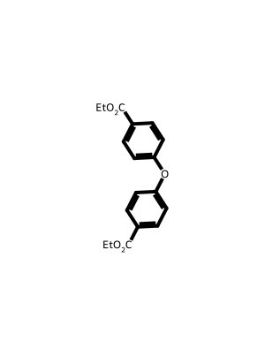 CCOC(=O)c1ccc(Oc2ccc(C(=O)OCC)cc2)cc1